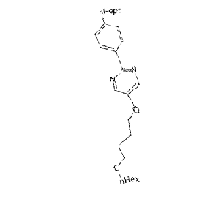 CCCCCCCc1ccc(-c2ncc(OCCCCOCCCCCC)cn2)cc1